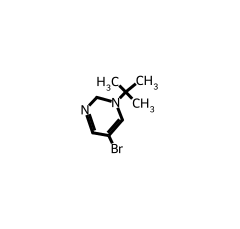 CC(C)(C)N1C=C(Br)C=NC1